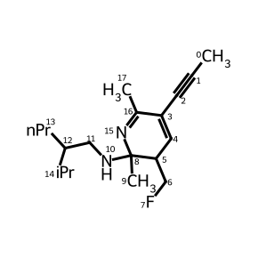 CC#CC1=CC(CF)C(C)(NCC(CCC)C(C)C)N=C1C